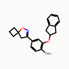 COc1ccc(C2=NOC3(CCC3)C2)cc1OC1Cc2ccccc2C1